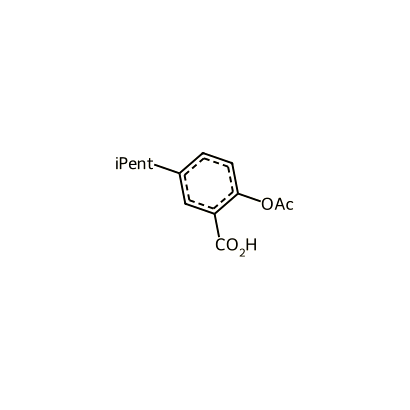 CCCC(C)c1ccc(OC(C)=O)c(C(=O)O)c1